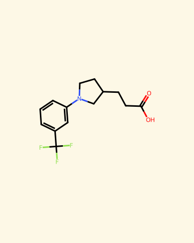 O=C(O)CCC1CCN(c2cccc(C(F)(F)F)c2)C1